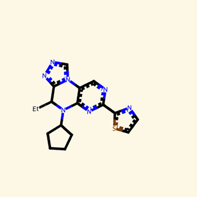 CCC1c2nncn2-c2cnc(-c3nccs3)nc2N1C1CCCC1